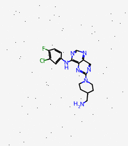 NCC1CCN(c2ncc3ncnc(Nc4ccc(F)c(Cl)c4)c3n2)CC1